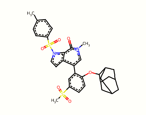 Cc1ccc(S(=O)(=O)n2ccc3c(-c4cc(S(C)(=O)=O)ccc4OC4C5CC6CC(C5)CC4C6)cn(C)c(=O)c32)cc1